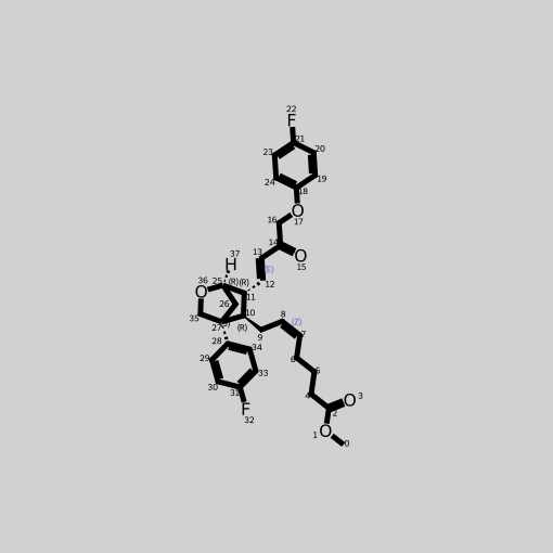 COC(=O)CCC/C=C\C[C@@H]1[C@@H](/C=C/C(=O)COc2ccc(F)cc2)[C@H]2C[C@]1(c1ccc(F)cc1)CO2